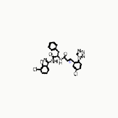 O=C(/C=C/c1cc(Cl)ccc1-n1cnnn1)NC(Cc1ccccc1)C(=O)Nc1noc2c(Cl)cccc12